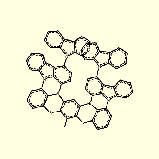 Cc1c2c(cc3c1Sc1cccc4c1B3c1ccc(-n3c5ccccc5c5ccccc53)c3c5ccccc5n-4c13)B1c3c(cccc3-n3c4ccccc4c4c(-n5c6ccccc6c6ccccc65)ccc1c43)S2